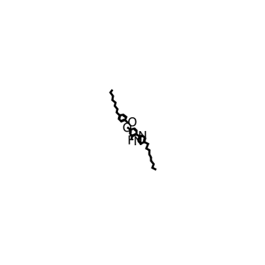 CCCCCCCCCc1cnc(-c2ccc(OC(=O)c3ccc(CCCCCCCC)cc3)cc2F)nc1